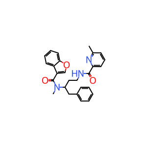 Cc1cccc(C(=O)NCCC(Cc2ccccc2)N(C)C(=O)c2coc3ccccc23)n1